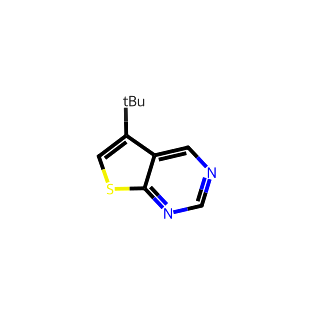 CC(C)(C)c1csc2ncncc12